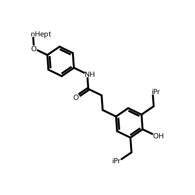 CCCCCCCOc1ccc(NC(=O)CCc2cc(CC(C)C)c(O)c(CC(C)C)c2)cc1